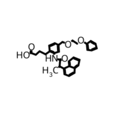 CC(C(=O)Nc1cc(COCCOc2ccccc2)ccc1CCCC(=O)O)c1cccc2ccccc12